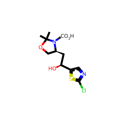 CC1(C)OC[C@H](C[C@H](O)c2cnc(Cl)s2)N1C(=O)O